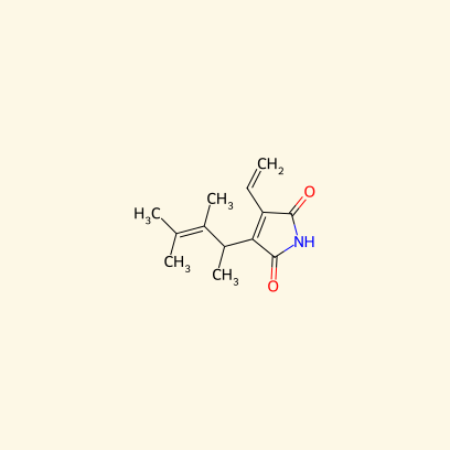 C=CC1=C(C(C)C(C)=C(C)C)C(=O)NC1=O